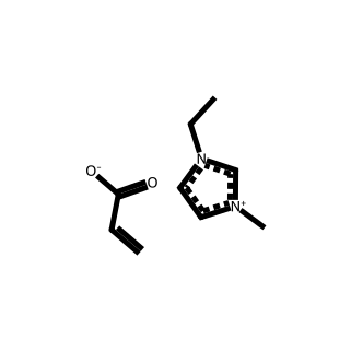 C=CC(=O)[O-].CCn1cc[n+](C)c1